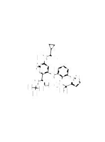 [2H]C([2H])([2H])NC(=O)c1nnc(NC(=O)C2CC2)cc1Nc1cccc2c1N(C)C([2H])([2H])c1ccnn1-2